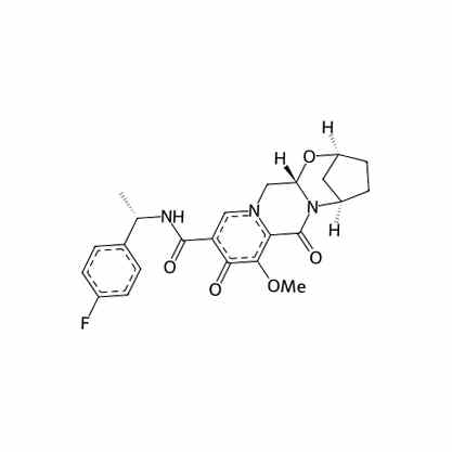 COc1c2n(cc(C(=O)N[C@@H](C)c3ccc(F)cc3)c1=O)C[C@@H]1O[C@H]3CC[C@H](C3)N1C2=O